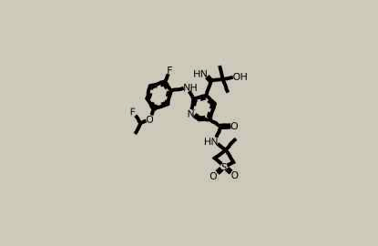 CC(F)Oc1ccc(F)c(Nc2ncc(C(=O)NC3(C)CS(=O)(=O)C3)cc2C(=N)C(C)(C)O)c1